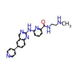 CNCCNC(=O)c1cccc(Nc2ncc3cc(-c4ccncc4)ccc3n2)n1